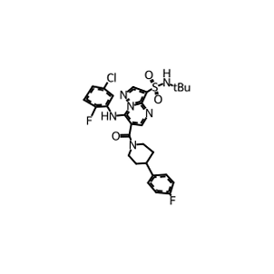 CC(C)(C)NS(=O)(=O)c1cnn2c(Nc3cc(Cl)ccc3F)c(C(=O)N3CCC(c4ccc(F)cc4)CC3)cnc12